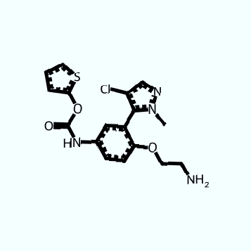 Cn1ncc(Cl)c1-c1cc(NC(=O)Oc2cccs2)ccc1OCCN